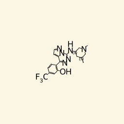 C[C@H]1C[C@H](Nc2nnc(-c3ccc(C(F)(F)F)cc3O)c3ccnn23)CN(C)C1